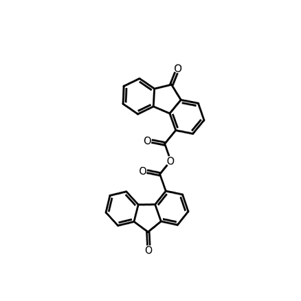 O=C(OC(=O)c1cccc2c1-c1ccccc1C2=O)c1cccc2c1-c1ccccc1C2=O